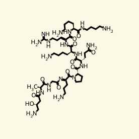 C[C@H](NC(=O)C[C@@H](O)CN)C(=O)NCC(=O)/N=C(\CCCN)C(=O)N1CCC[C@H]1C(=O)N[C@@H](CCC(N)=O)C(=O)N[C@@H](CCCCN)C(=O)N/C(=C\CCNC(=N)N)C(=O)N[C@@H](CCCCN)C(=O)NCCCCN